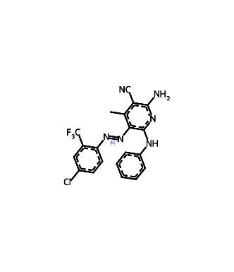 Cc1c(C#N)c(N)nc(Nc2ccccc2)c1/N=N/c1ccc(Cl)cc1C(F)(F)F